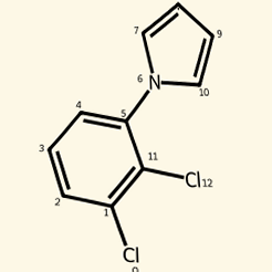 Clc1cccc(-n2c[c]cc2)c1Cl